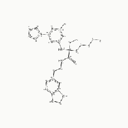 CCCCSC(CC)(Nc1cc(C)nc(-n2ccnc2)n1)C(=O)NCCc1ccc2c(c1)OCO2